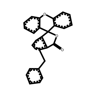 O=C1OC2(c3ccccc3Oc3ccccc32)c2cccc(Cc3ccccc3)c21